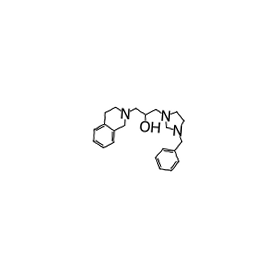 OC(CN1CCc2ccccc2C1)CN1CCN(Cc2ccccc2)C1